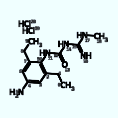 CCc1cc(N)cc(CC)c1NC(=O)NC(=N)NC.Cl.Cl